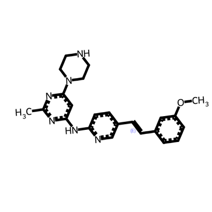 COc1cccc(/C=C/c2ccc(Nc3cc(N4CCNCC4)nc(C)n3)nc2)c1